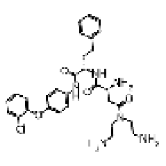 NCCN(CCN)C(=O)C[C@H](N)C(=O)N[C@@H](CCc1ccccc1)C(=O)Nc1ccc(Oc2ccccc2Cl)cc1